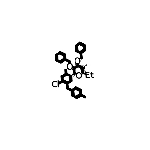 CC[C@H]1O[C@@H](c2cc(Cc3ccc(C)cc3)c(Cl)cc2C)[C@H](OCc2ccccc2)[C@@H](OCc2ccccc2)[C@@H]1C